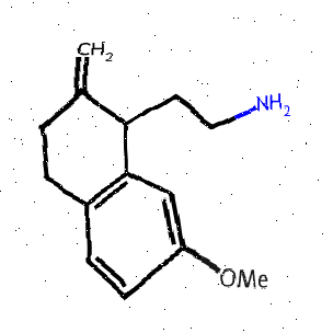 C=C1CCc2ccc(OC)cc2C1CCN